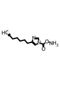 C#CCCCCCc1cn(C(=O)ON)cn1